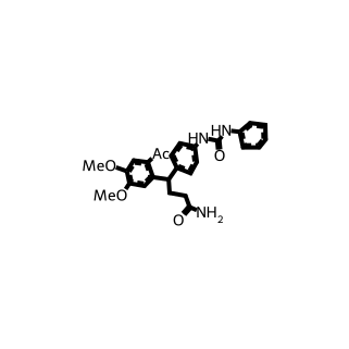 COc1cc(C(C)=O)c(C(CCC(N)=O)c2ccc(NC(=O)Nc3ccccc3)cc2)cc1OC